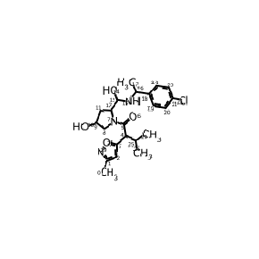 Cc1cc(C(C(=O)N2CC(O)CC2C(O)NC(C)c2ccc(Cl)cc2)C(C)C)on1